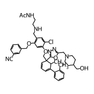 CC(=O)NCCNCc1cc(Cl)c(OCC2(c3nnc(CN4CCC(CO)CC4)o3)C=CC=C(c3ccccc3C)C2C)cc1OCc1cccc(C#N)c1